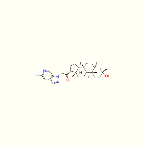 C[C@@]1(O)CC[C@@]2(C)[C@H](CC[C@@H]3[C@@H]2CC[C@]2(C)[C@@H](C(=O)Cn4ncc5cc(F)ncc54)CC[C@@H]32)C1